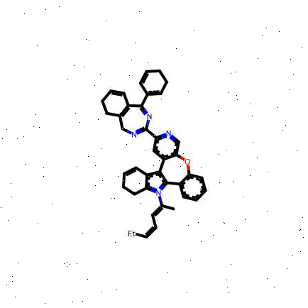 CC/C=C\C=C(/C)n1c2c(c3c1-c1ccccc1Oc1cnc(C4=NCC5=C(C=CCC5)C(C5=CCCC=C5)=N4)cc1-3)C=CCC2